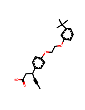 CC#CC(CC(=O)O)c1ccc(OCCOc2cccc(C(C)(C)C)c2)cc1